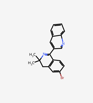 CC1(C)Cc2cc(Br)ccc2C(c2cnc3ccccc3c2)=N1